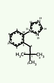 CC(C)(C)Cc1cnccc1-n1cncn1